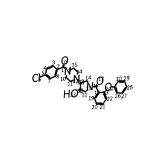 O=C(c1ccc(Cl)cc1)N1CCN([C@@H]2CN(C(=O)c3ccccc3Oc3ccccc3)C[C@H]2O)CC1